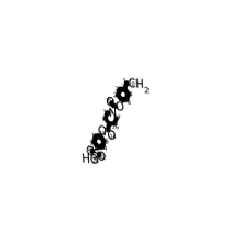 C=Cc1ccc(OC(=O)N2CCC(C(=O)Oc3ccc(S(=O)(=O)O)cc3)CC2)cc1